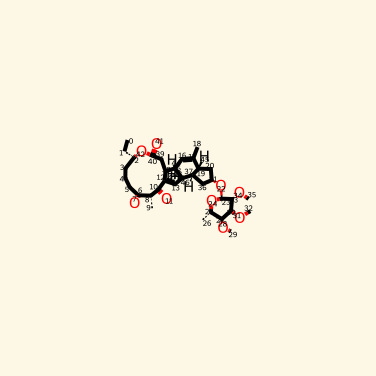 CC[C@H]1CCCC(=O)[C@@H](C)C(=O)C2=C[C@@H]3[C@@H](C=C(C)[C@@H]4C[C@@H](O[C@@H]5O[C@@H](C)[C@H](OC)C(OC)[C@H]5OC)C[C@@H]34)[C@@H]2CC(=O)O1